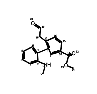 CNc1ccccc1-c1cc(C(=O)OC)ccc1CC=O